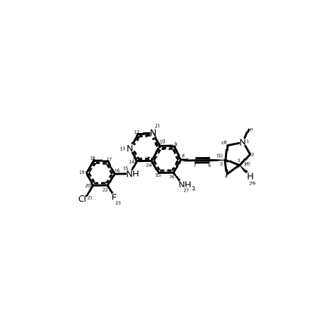 CN1C[C@@H]2C[C@]2(C#Cc2cc3ncnc(Nc4cccc(Cl)c4F)c3cc2N)C1